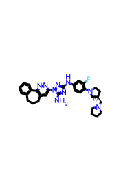 Nc1nc(Nc2ccc(N3CC[C@@H](CN4CCCC4)C3)c(F)c2)nn1-c1cc2c(nn1)-c1ccccc1CCC2